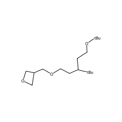 CC(C)(C)OCCC(CCOCC1COC1)C(C)(C)C